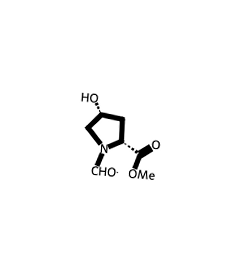 COC(=O)[C@H]1C[C@@H](O)CN1[C]=O